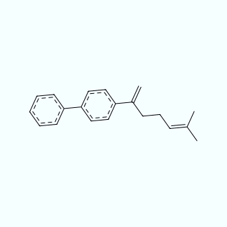 C=C(CCC=C(C)C)c1ccc(-c2ccccc2)cc1